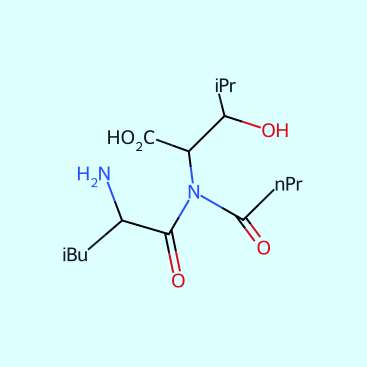 CCCC(=O)N(C(=O)C(N)C(C)CC)C(C(=O)O)C(O)C(C)C